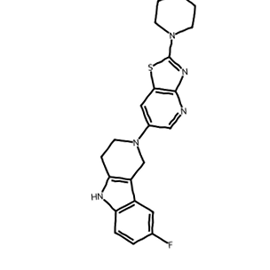 Fc1ccc2[nH]c3c(c2c1)CN(c1cnc2nc(N4CCOCC4)sc2c1)CC3